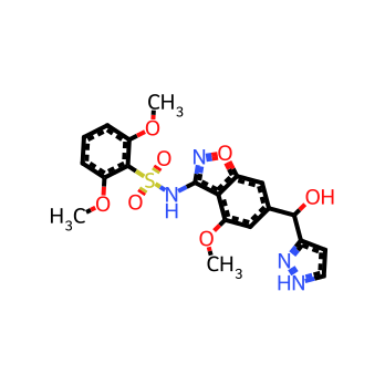 COc1cccc(OC)c1S(=O)(=O)Nc1noc2cc(C(O)c3cc[nH]n3)cc(OC)c12